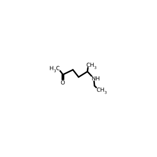 CCNC(C)CCC(C)=O